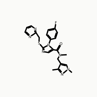 Cc1nn(C)cc1CN(C)C(=O)c1cnc(SCc2ncccn2)n1-c1ccc(F)cc1